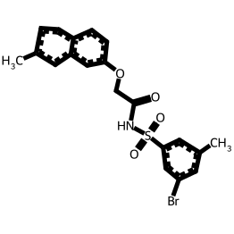 Cc1cc(Br)cc(S(=O)(=O)NC(=O)COc2ccc3ccc(C)cc3c2)c1